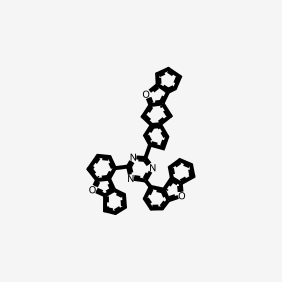 c1ccc2c(c1)oc1cc3cc(-c4nc(-c5cccc6oc7ccccc7c56)nc(-c5cccc6oc7ccccc7c56)n4)ccc3cc12